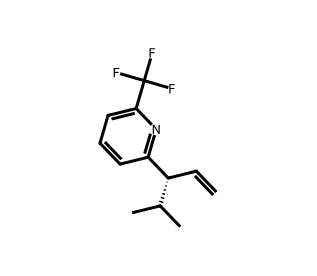 C=C[C@@H](c1cccc(C(F)(F)F)n1)C(C)C